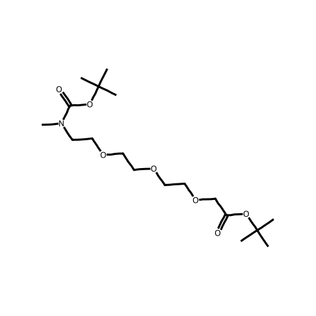 CN(CCOCCOCCOCC(=O)OC(C)(C)C)C(=O)OC(C)(C)C